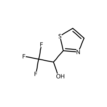 OC(c1nccs1)C(F)(F)F